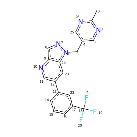 Cc1ncc(Cn2ncc3ncc(-c4cccc(C(F)(F)F)c4)cc32)cn1